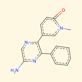 Cn1cc(-c2ncc(N)nc2-c2ccccc2)ccc1=O